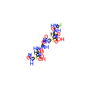 C[C@@H](NC(=O)[C@@H]1C[C@H](F)CN1)[C@H]1C(=O)N2C(C(=O)O)=C(S[C@@H]3CN[C@H](C(=O)N(C)CO[C@H]4CN[C@H](C(=O)N[C@H](C)[C@H]5C(=O)N6C(C(=O)O)=C(S[C@@H]7CN[C@H](C(=O)N(C)C)C7)[C@H](C)[C@H]56)C4)C3)[C@H](C)[C@H]12